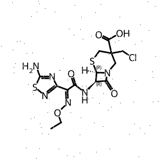 CCON=C(C(=O)N[C@@H]1C(=O)N2CC(CCl)(C(=O)O)CS[C@H]12)c1nsc(N)n1